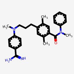 Cc1cc(C(=O)N(C)c2ccccc2)c(C)cc1CCCN(C)c1ccc(C(=N)N)cc1